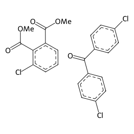 COC(=O)c1cccc(Cl)c1C(=O)OC.O=C(c1ccc(Cl)cc1)c1ccc(Cl)cc1